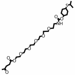 CC(=O)CCC(=O)OCCOCCOCCOCCOCCOCCNC(=O)OC1CCC(SC(C)C)CC1